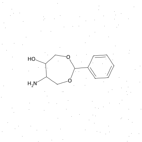 NC1COC(c2ccccc2)OCC1O